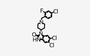 O=c1[nH]c2cc(Cl)c(Cl)cc2n1C1CCN(Cc2ccc(Cl)cc2F)CC1